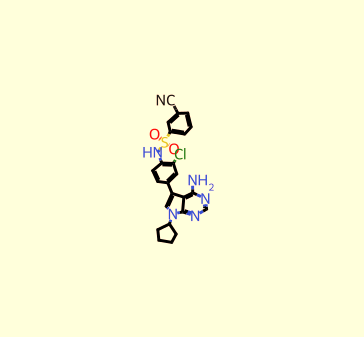 N#Cc1cccc(S(=O)(=O)Nc2ccc(-c3cn(C4CCCC4)c4ncnc(N)c34)cc2Cl)c1